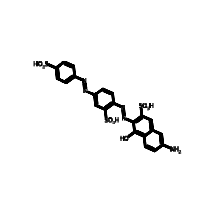 Nc1ccc2c(O)c(N=Nc3ccc(N=Nc4ccc(S(=O)(=O)O)cc4)cc3S(=O)(=O)O)c(S(=O)(=O)O)cc2c1